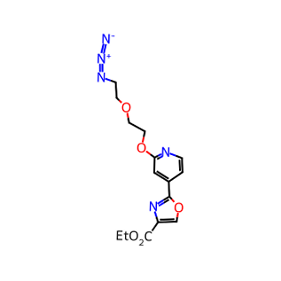 CCOC(=O)c1coc(-c2ccnc(OCCOCCN=[N+]=[N-])c2)n1